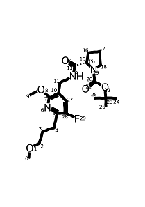 COCCCc1nc(OC)c(CNC(=O)[C@@H]2CCCN2C(=O)OC(C)(C)C)cc1F